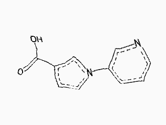 O=C(O)c1ccn(-c2cccnc2)c1